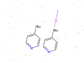 CC(C)(C)c1ccncc1.CC(C)(C)c1ccncc1.I[IH]I